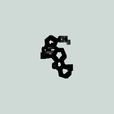 Cc1ccc(C)n1-c1ccc2c(oc3cccnc32)c1C#N